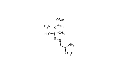 COC(=O)[C@@H](N)C(C)(C)SSC[C@@H](N)C(=O)O